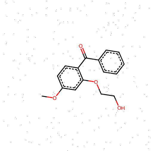 COc1ccc(C(=O)c2ccccc2)c(OCCO)c1